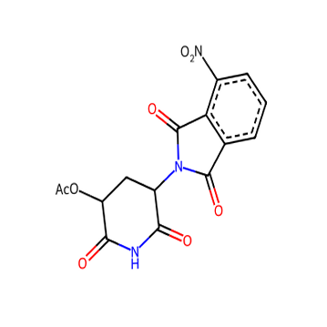 CC(=O)OC1CC(N2C(=O)c3cccc([N+](=O)[O-])c3C2=O)C(=O)NC1=O